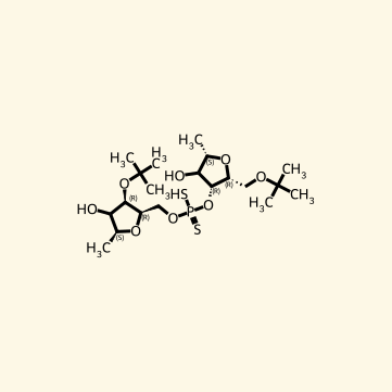 C[C@@H]1O[C@H](COP(=S)(S)O[C@@H]2C(O)[C@H](C)O[C@@H]2COC(C)(C)C)[C@H](OC(C)(C)C)C1O